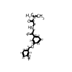 CN(C)C(=O)CNCC(F)c1cccc(OCc2cccc(F)c2)c1